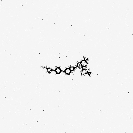 Cc1noc(-c2ccc(-c3ccc4cc(C(O)NC5(C(=O)NC6(C#N)CC6)CCC(F)(F)CC5)oc4c3)cc2)n1